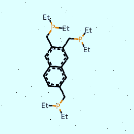 CCP(CC)Cc1ccc2cc(CP(CC)CC)c(CP(CC)CC)cc2c1